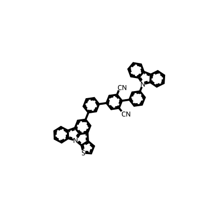 N#Cc1cc(-c2cccc(-c3cc4c5ccccc5n5c6sccc6c(c3)c45)c2)cc(C#N)c1-c1cccc(-n2c3ccccc3c3ccccc32)c1